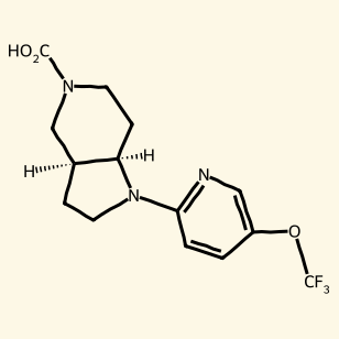 O=C(O)N1CC[C@@H]2[C@@H](CCN2c2ccc(OC(F)(F)F)cn2)C1